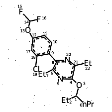 CCCC(CC)Oc1nc(CC)c(-c2ccc(OC(F)F)cc2Cl)nc1CC